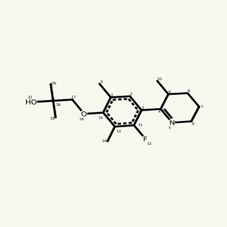 Cc1cc(C2=NCCCC2C)c(F)c(C)c1OCC(C)(C)O